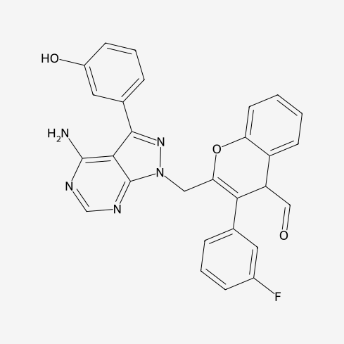 Nc1ncnc2c1c(-c1cccc(O)c1)nn2CC1=C(c2cccc(F)c2)C(C=O)c2ccccc2O1